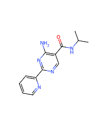 CC(C)NC(=O)c1cnc(-c2ccccn2)nc1N